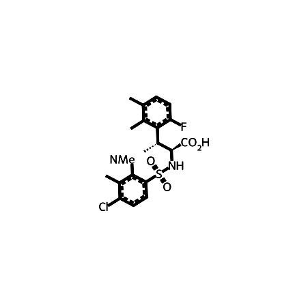 CNc1c(S(=O)(=O)N[C@H](C(=O)O)[C@H](C)c2c(F)ccc(C)c2C)ccc(Cl)c1C